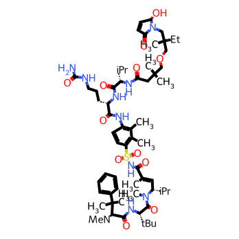 CCC(C)(COCC(C)(C)CC(=O)N[C@H](C(=O)N[C@@H](CCCNC(N)=O)C(=O)Nc1ccc(S(=O)(=O)NC(=O)/C(C)=C/[C@H](C(C)C)N(C)C(=O)[C@@H](NC(=O)[C@@H](NC)C(C)(C)c2ccccc2)C(C)(C)C)c(C)c1C)C(C)C)CN1C(=O)C=CC1O